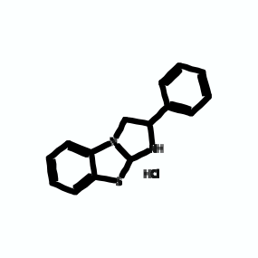 Cl.c1ccc(C2CN3c4ccccc4SC3N2)cc1